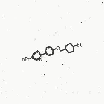 CCCc1ccc(-c2ccc(OCC3CCC(CC)CC3)cc2)nc1